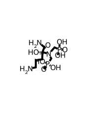 NCCC[C@@](O)(C(N)=O)N(CP(=O)(O)O)CP(=O)(O)O